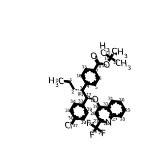 CCC[C@H](c1ccc(C(=O)OC(C)(C)C)cc1)[C@@H](Oc1cc(C(F)(F)F)nc2ccccc12)c1ccc(Cl)cc1